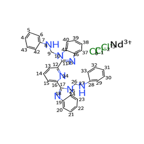 [Cl-].[Cl-].[Cl-].[Nd+3].c1ccc(NCn2c(-c3cccc(-c4nc5ccccc5n4CNc4ccccc4)n3)nc3ccccc32)cc1